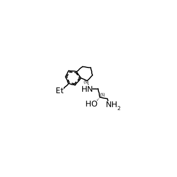 CCc1ccc2c(c1)[C@@H](NC[C@@H](O)CN)CCC2